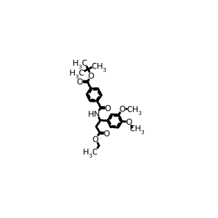 CCOC(=O)CC(NC(=O)c1ccc(C(=O)OC(C)(C)C)cc1)c1ccc(OC)c(OC)c1